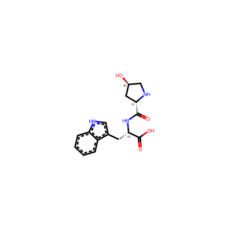 O=C(O)[C@H](Cc1c[nH]c2ccccc12)NC(=O)[C@@H]1C[C@@H](O)CN1